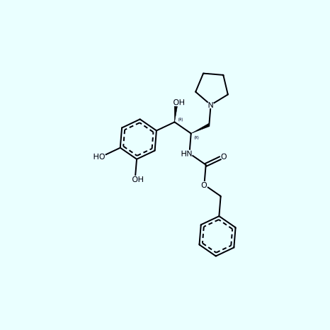 O=C(N[C@H](CN1CCCC1)[C@H](O)c1ccc(O)c(O)c1)OCc1ccccc1